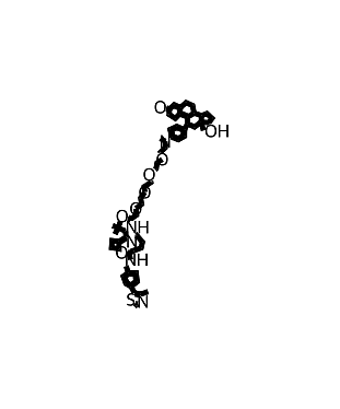 Cc1ncsc1-c1ccc(CNC(=O)C2CCCN2C(=C2CCC2)C(NC(=O)COCCOCCOCCOCCN(C)c2ccc(C3CC4(C)C(O)CCC4C4CCC5=CC(=O)CCC5=C34)cc2)C(C)(C)C)cc1